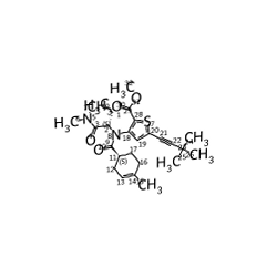 CC[C@@H](C(=O)N(C)C)N(C(=O)[C@@H]1CC=C(C)CC1)c1cc(C#CC(C)(C)C)sc1C(=O)OC